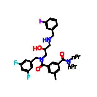 CCCN(CCC)C(=O)c1cc(C)cc(C(=O)N(Cc2cc(F)cc(F)c2)CC(O)CNCc2cccc(I)c2)c1